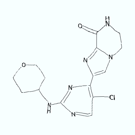 O=C1NCCn2cc(-c3nc(NC4CCOCC4)ncc3Cl)nc21